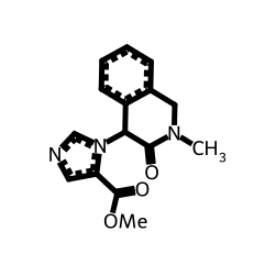 COC(=O)c1cncn1C1C(=O)N(C)Cc2ccccc21